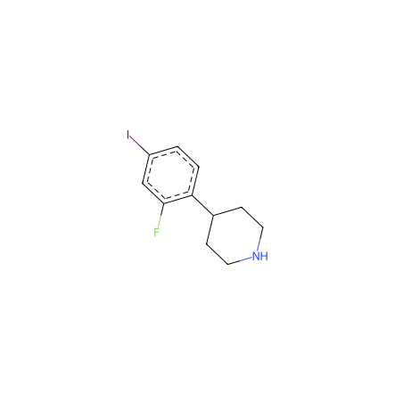 Fc1cc(I)ccc1C1CCNCC1